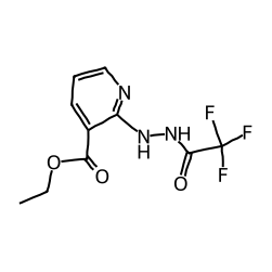 CCOC(=O)c1cccnc1NNC(=O)C(F)(F)F